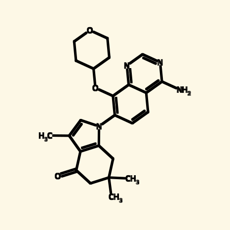 Cc1cn(-c2ccc3c(N)ncnc3c2OC2CCOCC2)c2c1C(=O)CC(C)(C)C2